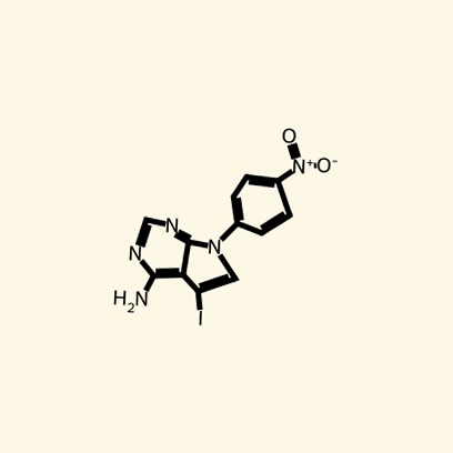 Nc1ncnc2c1c(I)cn2-c1ccc([N+](=O)[O-])cc1